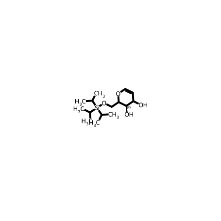 CC(C)[Si](OCC1OC=CC(O)[C@H]1O)(C(C)C)C(C)C